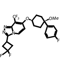 CO[C@]1(c2ccc(F)cc2)CC[C@H](Oc2ccn3c(C4CC(F)(F)C4)nnc3c2C(F)(F)F)CC1